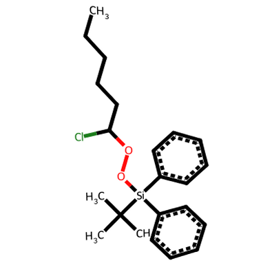 CCCCCC(Cl)OO[Si](c1ccccc1)(c1ccccc1)C(C)(C)C